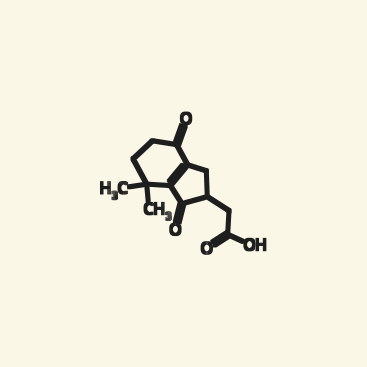 CC1(C)CCC(=O)C2=C1C(=O)C(CC(=O)O)C2